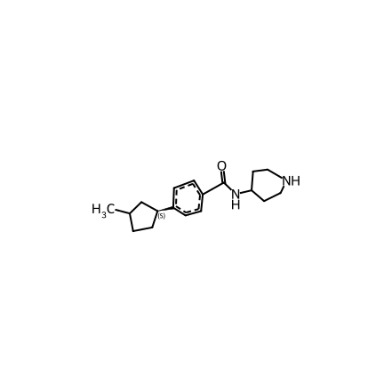 CC1CC[C@H](c2ccc(C(=O)NC3CCNCC3)cc2)C1